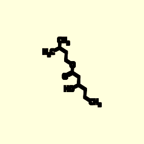 CCCC(O)CC(=O)OCCC(C)C